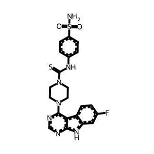 NS(=O)(=O)c1ccc(NC(=S)N2CCN(c3ncnc4[nH]c5cc(F)ccc5c34)CC2)cc1